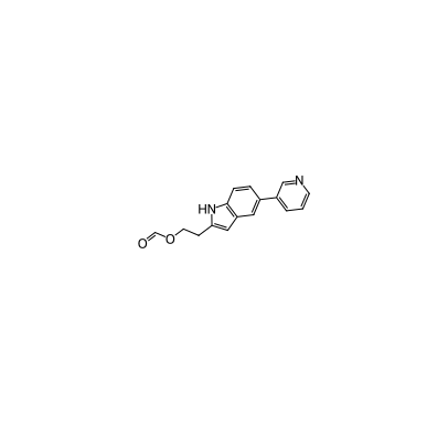 O=COCCc1cc2cc(-c3cccnc3)ccc2[nH]1